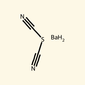 N#CSC#N.[BaH2]